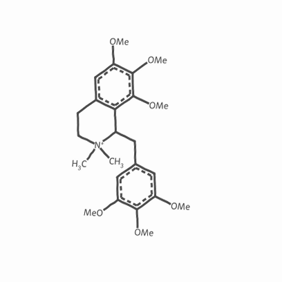 COc1cc(CC2c3c(cc(OC)c(OC)c3OC)CC[N+]2(C)C)cc(OC)c1OC